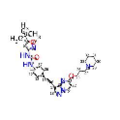 CC(C)(C)c1cc(NC(=O)Nc2ccc(C#Cc3cnn4ccc(OCCCN5CCCCC5)nc34)cc2)no1